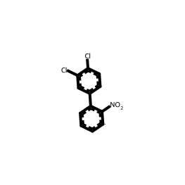 O=[N+]([O-])c1[c]cccc1-c1ccc(Cl)c(Cl)c1